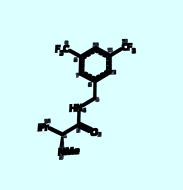 CN[C@@H](C(=O)NCc1cc(C(F)(F)F)cc(C(F)(F)F)c1)C(C)C